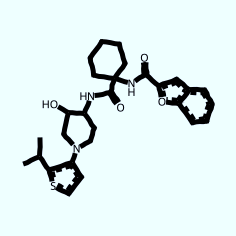 CC(C)c1sccc1N1CCC(NC(=O)C2(NC(=O)c3cc4ccccc4o3)CCCCC2)C(O)C1